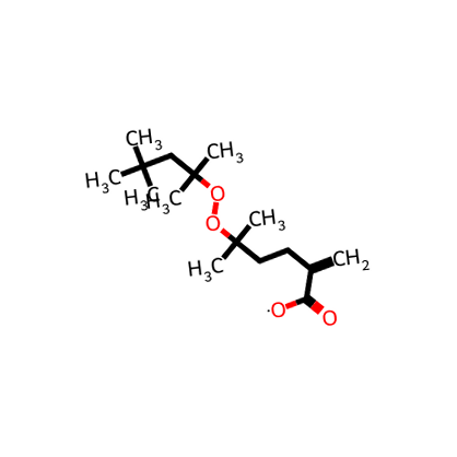 C=C(CCC(C)(C)OOC(C)(C)CC(C)(C)C)C([O])=O